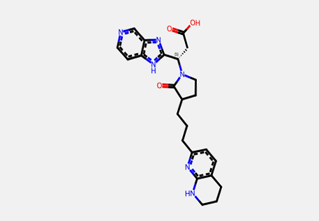 O=C(O)C[C@@H](c1nc2cnccc2[nH]1)N1CCC(CCCc2ccc3c(n2)NCCC3)C1=O